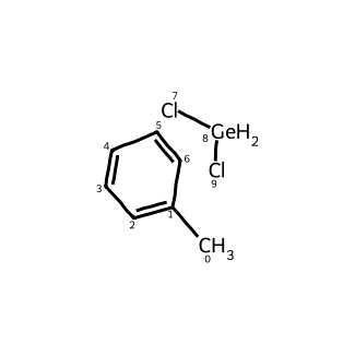 Cc1ccccc1.[Cl][GeH2][Cl]